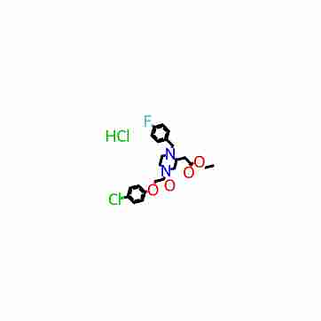 CCOC(=O)CC1CN(C(=O)COc2ccc(Cl)cc2)CCN1Cc1ccc(F)cc1.Cl